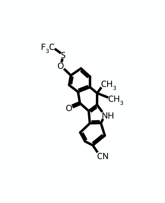 CC1(C)c2ccc(OSC(F)(F)F)cc2C(=O)c2c1[nH]c1cc(C#N)ccc21